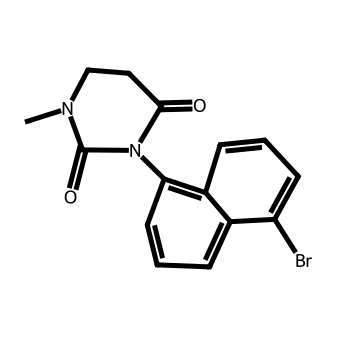 CN1CCC(=O)N(c2cccc3c(Br)cccc23)C1=O